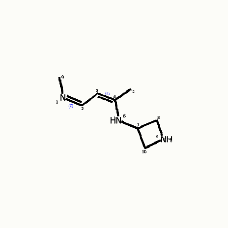 C/N=C\C=C(\C)NC1CNC1